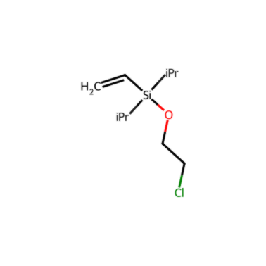 C=C[Si](OCCCl)(C(C)C)C(C)C